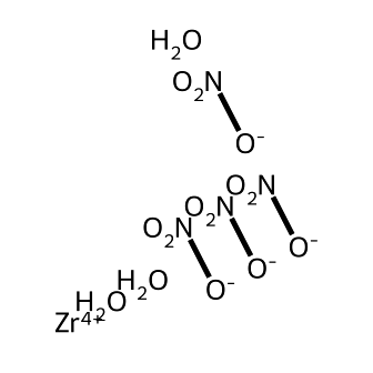 O.O.O.O=[N+]([O-])[O-].O=[N+]([O-])[O-].O=[N+]([O-])[O-].O=[N+]([O-])[O-].[Zr+4]